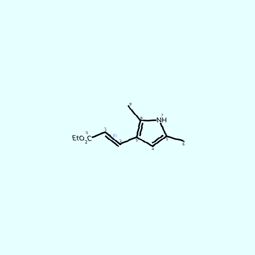 CCOC(=O)/C=C/c1cc(C)[nH]c1C